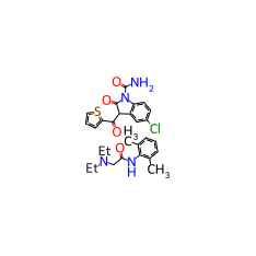 CCN(CC)CC(=O)Nc1c(C)cccc1C.NC(=O)N1C(=O)C(C(=O)c2cccs2)c2cc(Cl)ccc21